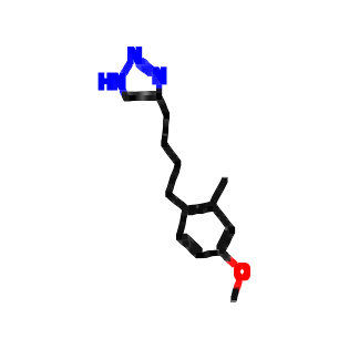 COc1ccc(CCCCc2c[nH]nn2)c(C)c1